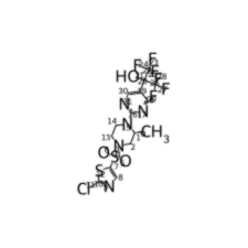 C[C@H]1CN(S(=O)(=O)c2cnc(Cl)s2)CCN1c1ncc(C(O)(C(F)(F)F)C(F)(F)F)cn1